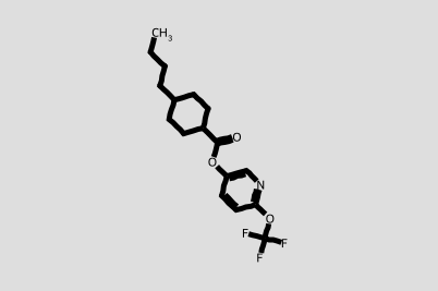 CCCCC1CCC(C(=O)Oc2ccc(OC(F)(F)F)nc2)CC1